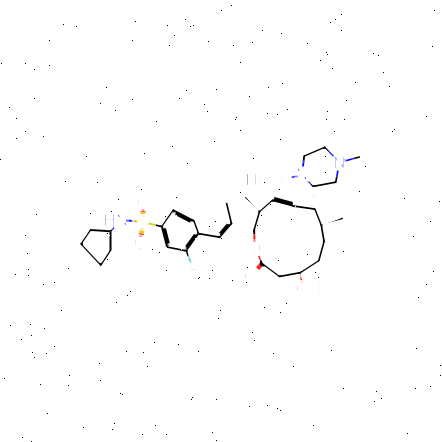 C/C(=C\c1ccc(S(=O)(=O)NC2CCCC2)cc1F)[C@H]1OC(=O)C[C@H](O)CC[C@H](C)[C@@H](C2CN(C)CCN2C(=O)O)/C=C/[C@@H]1C